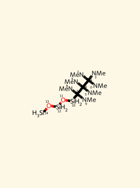 CNC(NC)(NC)C(NC)(NC)C(NC)(NC)[SiH2]O[SiH2]O[SiH3]